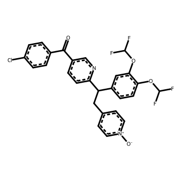 O=C(c1ccc(Cl)cc1)c1ccc(C(Cc2cc[n+]([O-])cc2)c2ccc(OC(F)F)c(OC(F)F)c2)nc1